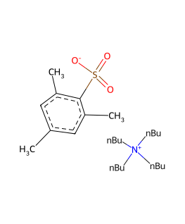 CCCC[N+](CCCC)(CCCC)CCCC.Cc1cc(C)c(S(=O)(=O)[O-])c(C)c1